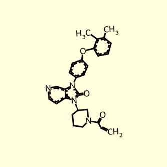 C=CC(=O)N1CCC[C@@H](n2c(=O)n(-c3ccc(Oc4cccc(C)c4C)cc3)c3cnccc32)C1